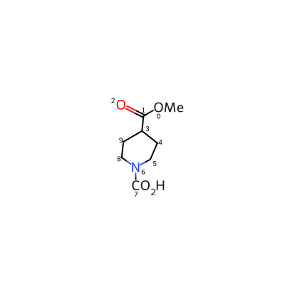 COC(=O)C1CCN(C(=O)O)CC1